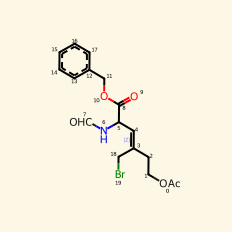 CC(=O)OCC/C(=C/C(NC=O)C(=O)OCc1ccccc1)CBr